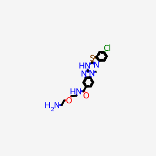 Cn1c(Nc2nc3ccc(Cl)cc3s2)nc2cc(C(=O)NCCOCCN)ccc21